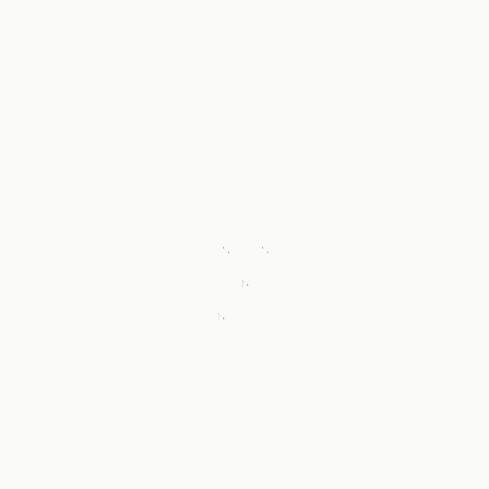 Cc1ccc2c(c1)N(c1n[c]c3cc[nH]c3n1)CC2